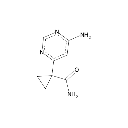 NC(=O)C1(c2cc(N)ncn2)CC1